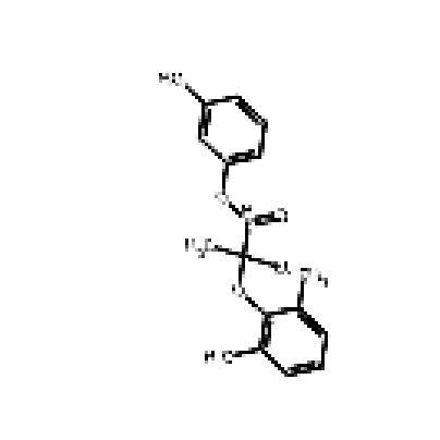 CCC(C)(Oc1c(C)cccc1C)[PH](=O)Oc1cccc(O)c1